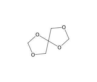 C1OCC2(COCO2)O1